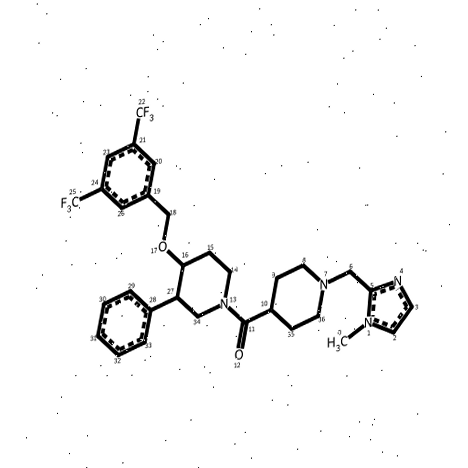 Cn1ccnc1CN1CCC(C(=O)N2CCC(OCc3cc(C(F)(F)F)cc(C(F)(F)F)c3)C(c3ccccc3)C2)CC1